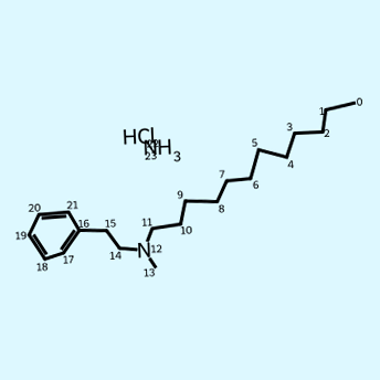 CCCCCCCCCCCCN(C)CCc1ccccc1.Cl.N